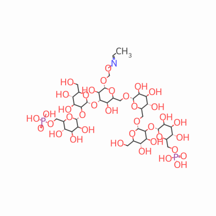 CC=NOCO[C@@H]1OC(CO[C@H]2OC(CO[C@H]3OC(CO)[C@@H](O)[C@H](O)C3O[C@H]3OC(COP(=O)(O)O)[C@@H](O)[C@H](O)C3O)[C@@H](O)[C@H](O)C2O)[C@@H](O)[C@H](O[C@H]2OC(CO)[C@@H](O)[C@H](O)C2O[C@H]2OC(COP(=O)(O)O)[C@@H](O)[C@H](O)C2O)C1O